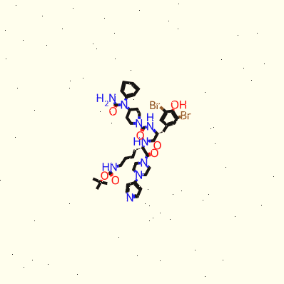 CC(C)(C)OC(=O)NCCCC[C@H](NC(=O)[C@@H](Cc1cc(Br)c(O)c(Br)c1)NC(=O)N1CCC(N(C(N)=O)c2ccccc2)CC1)C(=O)N1CCN(c2ccncc2)CC1